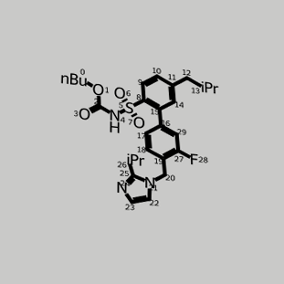 CCCCOC(=O)NS(=O)(=O)c1ccc(CC(C)C)cc1-c1ccc(Cn2ccnc2C(C)C)c(F)c1